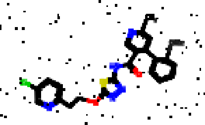 COc1ccccc1-c1cc(C)ncc1C(=O)Nc1nnc(OCCc2ccc(Cl)cn2)s1